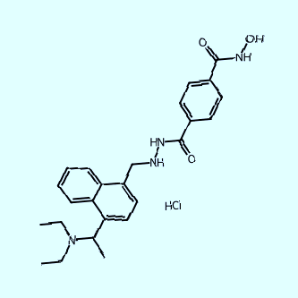 CCN(CC)C(C)c1ccc(CNNC(=O)c2ccc(C(=O)NO)cc2)c2ccccc12.Cl